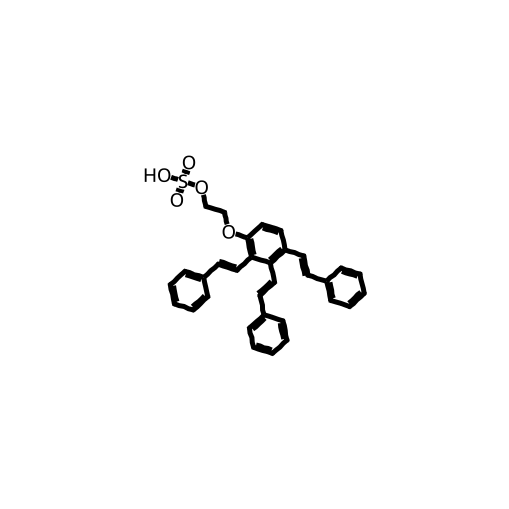 O=S(=O)(O)OCCOc1ccc(C=Cc2ccccc2)c(C=Cc2ccccc2)c1C=Cc1ccccc1